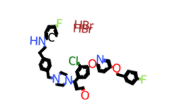 Br.Br.O=C/C=C(\c1ccc(Oc2ccc(OCc3ccc(F)cc3)cn2)c(Cl)c1)N1CCN(Cc2ccc(CCNc3ccc(F)cc3)cc2)CC1